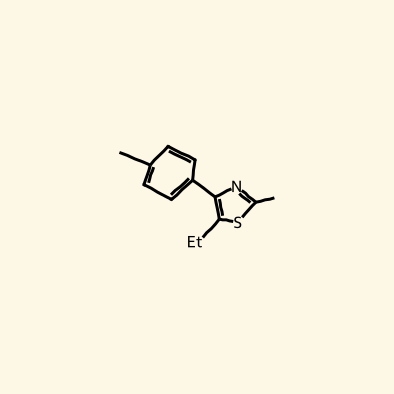 CCc1sc(C)nc1-c1ccc(C)cc1